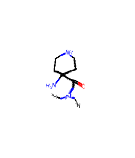 [2H]N([2H])C(=O)C1(N)CCNCC1